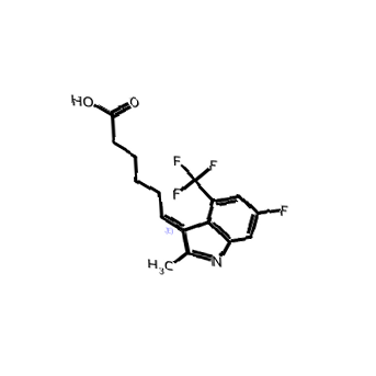 CC1=Nc2cc(F)cc(C(F)(F)F)c2/C1=C\CCCCC(=O)O